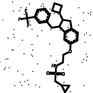 O=S(=O)(CC1CC1)NCCOc1ccc2c(c1)C(Cc1cccc(C(F)(F)F)c1)C(N1CCC1)C2